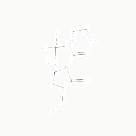 O=C1CC(CI)C(=O)N1c1ccccc1C(F)(F)F